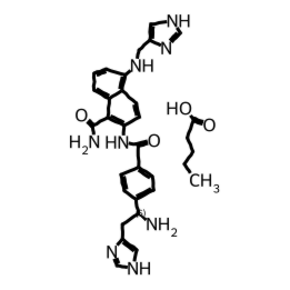 CCCCC(=O)O.NC(=O)c1c(NC(=O)c2ccc([C@@H](N)Cc3c[nH]cn3)cc2)ccc2c(NCc3c[nH]cn3)cccc12